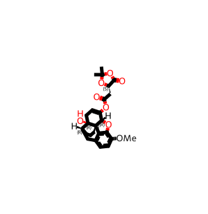 COc1ccc2c3c1O[C@H]1C(OC(=O)C[C@@H]4OC(C)(C)OC4=O)=CC[C@@]4(O)[C@H](CCC[C@]314)C2